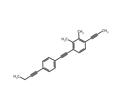 CC#Cc1ccc(C#Cc2ccc(C#CCC)cc2)c(C)c1C